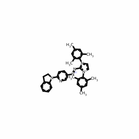 Cc1cc(C)c(-n2cc[n+](-c3c(C)cc(C)cc3C)c2/N=N/c2ccc(N3CCc4ccccc43)nc2)c(C)c1